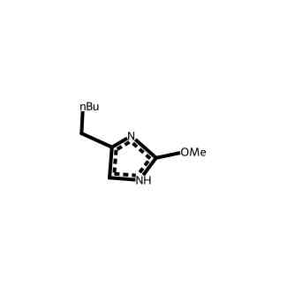 CCCCCc1c[nH]c(OC)n1